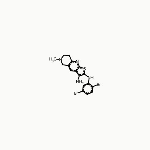 CN1CCc2nc3sc(Nc4cc(Br)ccc4Br)c(N)c3cc2C1